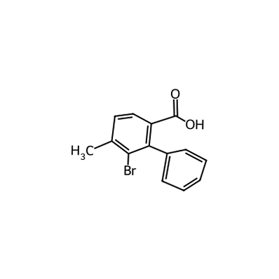 Cc1ccc(C(=O)O)c(-c2ccccc2)c1Br